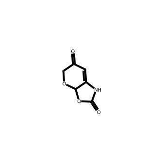 O=C1C=C2NC(=O)OC2OC1